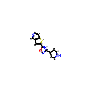 c1cc2sc(-c3nc(C4CCNCC4)no3)cc2cn1